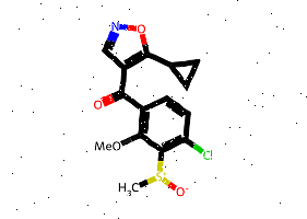 COc1c(C(=O)c2cnoc2C2CC2)ccc(Cl)c1[S+](C)[O-]